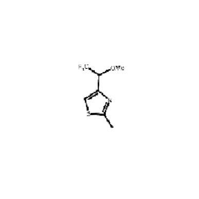 COC(c1csc(C)n1)C(F)(F)F